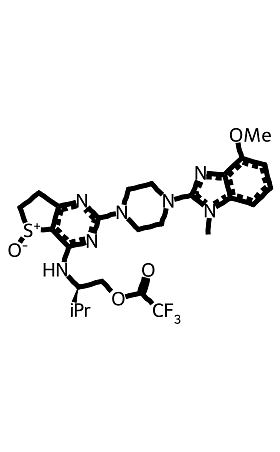 COc1cccc2c1nc(N1CCN(c3nc4c(c(N[C@@H](COC(=O)C(F)(F)F)C(C)C)n3)[S+]([O-])CC4)CC1)n2C